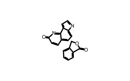 O=C1C=Cc2ccc3c(c2=N1)=CC=N3.O=C1OCc2ccccc21